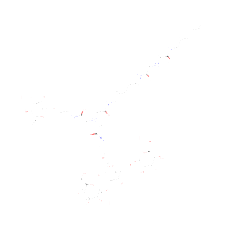 CCCCCCNC(=O)CNCC(=O)NCCCCCNC(=O)CN(CC(=O)NCCO[C@@H]1O[C@@H](C)[C@@H](O)[C@@H](O)[C@@H]1O)CC(=O)NCCO[C@H]1O[C@H](CO[C@H]2O[C@H](CO)[C@@H](O)[C@H](O)[C@@H]2O)[C@@H](O)[C@H](O[C@H]2O[C@H](CO)[C@@H](O)[C@H](O)[C@@H]2O)[C@@H]1O